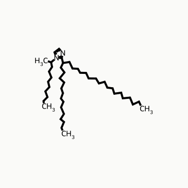 CCCCCCCCCCCCCCCCCCC(CCCCCCCCCCCCCC)c1nccn1C(C)CCCCCCCCC